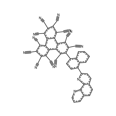 N#Cc1c(C#N)c(C#N)c2c(c1C#N)c1c(C#N)c(C#N)c(C#N)c(C#N)c1c1c(C#N)c(-c3ccc(-c4ccc5ccc6cccnc6c5n4)c4ccccc34)c(C#N)c(C#N)c21